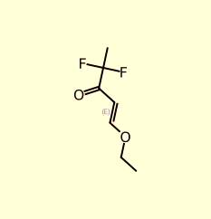 CCO/C=C/C(=O)C(C)(F)F